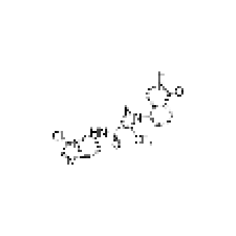 O=C(Nc1ccc2ncc(Cl)n2c1)c1cnn(-c2cccc3c(=O)[nH]ccc23)c1C(F)(F)F